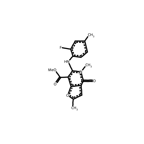 COC(=O)c1c(Nc2ccc(C)cc2F)n(C)c(=O)c2cc(C)oc12